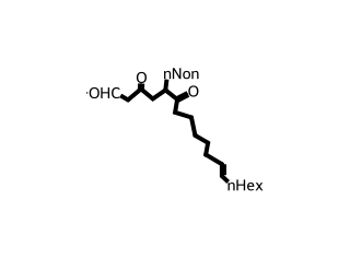 CCCCCCC=CCCCCCC(=O)C(CCCCCCCCC)CC(=O)C[C]=O